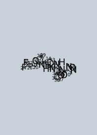 Cc1nonc1C(=O)N[C@@H](c1nc2ccc(C(NC(=O)CC3CC(F)(F)C3)C3CC3)cc2[nH]1)[C@@H]1CCCCO1